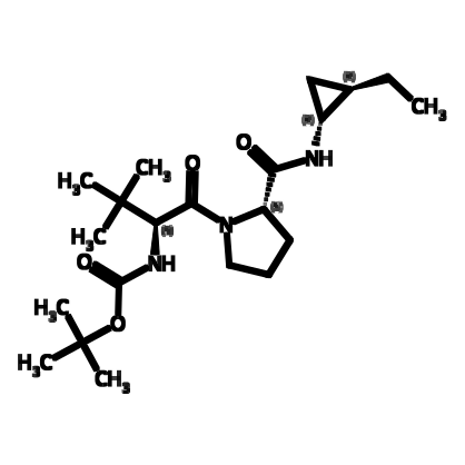 CC[C@@H]1C[C@H]1NC(=O)[C@@H]1CCCN1C(=O)[C@@H](NC(=O)OC(C)(C)C)C(C)(C)C